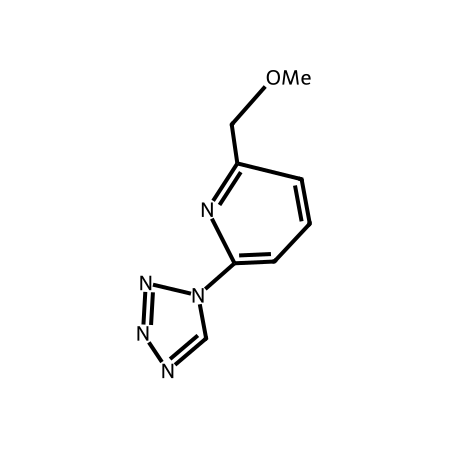 COCc1cccc(-n2cnnn2)n1